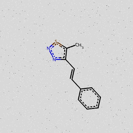 Cc1snnc1C=Cc1ccccc1